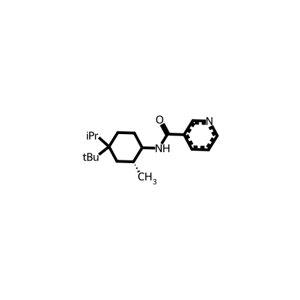 CC(C)C1(C(C)(C)C)CCC(NC(=O)c2cccnc2)[C@H](C)C1